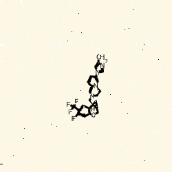 Cc1cn(C2=CN3CCN(C[C@@]45C[C@@H]4COc4cc(F)c(C(F)(F)F)cc45)C=C3C=C2)cn1